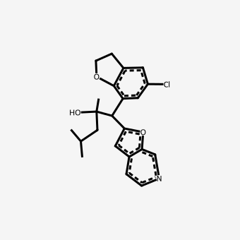 CC(C)CC(C)(O)C(c1cc2ccncc2o1)c1cc(Cl)cc2c1OCC2